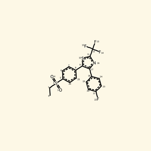 CCS(=O)(=O)c1ccc(-c2sc(C(F)(F)F)nc2-c2ccc(F)cc2)cc1